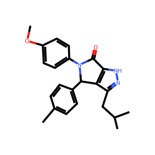 COc1ccc(N2C(=O)c3[nH]nc(CC(C)C)c3C2c2ccc(C)cc2)cc1